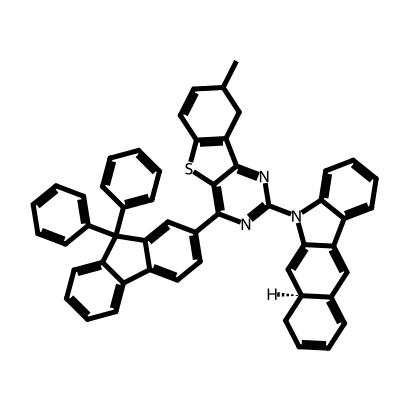 CC1C=Cc2sc3c(-c4ccc5c(c4)C(c4ccccc4)(c4ccccc4)c4ccccc4-5)nc(-n4c5c(c6ccccc64)=CC4=CC=CC[C@H]4C=5)nc3c2C1